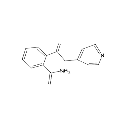 C=C(N)c1ccccc1C(=C)Cc1ccncc1